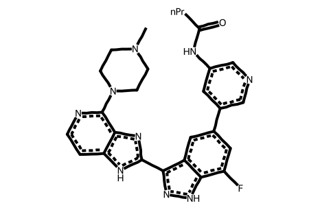 CCCC(=O)Nc1cncc(-c2cc(F)c3[nH]nc(-c4nc5c(N6CCN(C)CC6)nccc5[nH]4)c3c2)c1